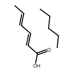 CC=CC=CC(=O)O.CCCCC